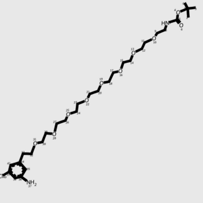 CC(C)(C)OC(=O)NCCOCCOCCOCCOCCOCCOCCOCCOCCc1cc(N)cc(Cl)c1